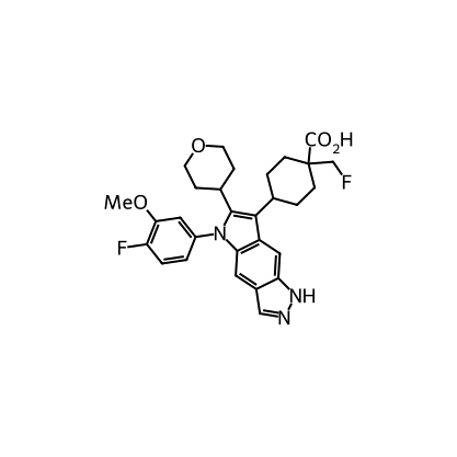 COc1cc(-n2c(C3CCOCC3)c(C3CCC(CF)(C(=O)O)CC3)c3cc4[nH]ncc4cc32)ccc1F